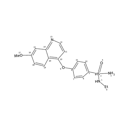 CCN[SH](N)(=O)c1ccc(Oc2ccnc3cc(OC)ccc23)cc1